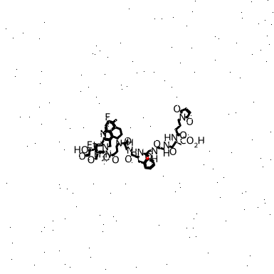 CC[C@@]1(O)C(=O)OCc2c1cc1n(c2=O)Cc2c-1nc1cc(F)c(C)c3c1c2[C@@H](N(CCC(N)=O)C(=O)CNC(=O)[C@H](Cc1ccccc1)NC(=O)CNC(=O)CNC(=O)[C@H](CC(=O)O)NC(=O)CCCN1C(=O)C=CC1=O)CC3